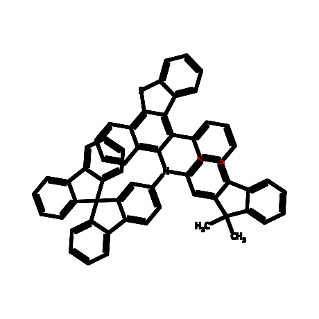 CC1(C)c2ccccc2-c2ccc(N(c3ccc4c(c3)C3(c5ccccc5-c5ccccc53)c3ccccc3-4)c3c(-c4ccccc4)c4c5ccccc5sc4c4ccccc34)cc21